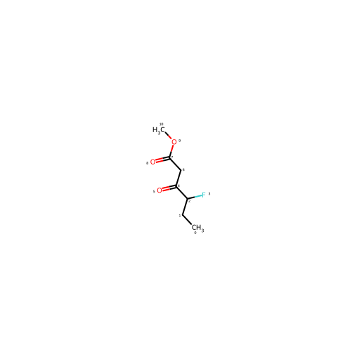 CCC(F)C(=O)CC(=O)OC